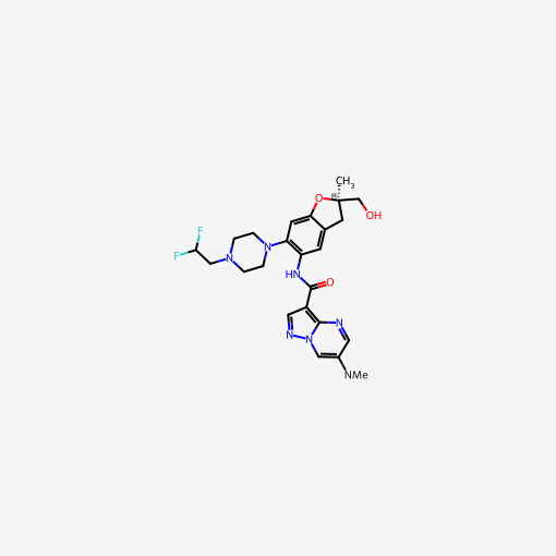 CNc1cnc2c(C(=O)Nc3cc4c(cc3N3CCN(CC(F)F)CC3)O[C@@](C)(CO)C4)cnn2c1